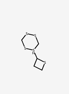 C1CC([SH]2CSSCS2)S1